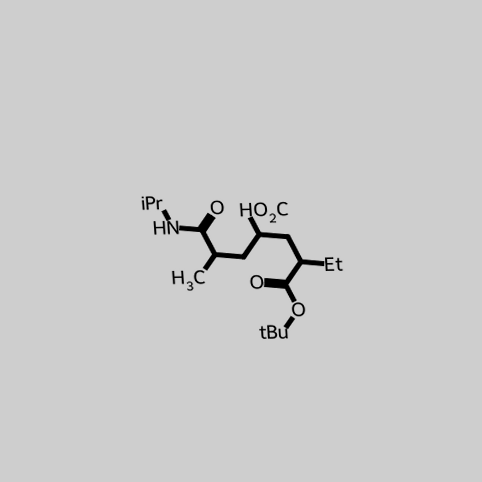 CCC(CC(CC(C)C(=O)NC(C)C)C(=O)O)C(=O)OC(C)(C)C